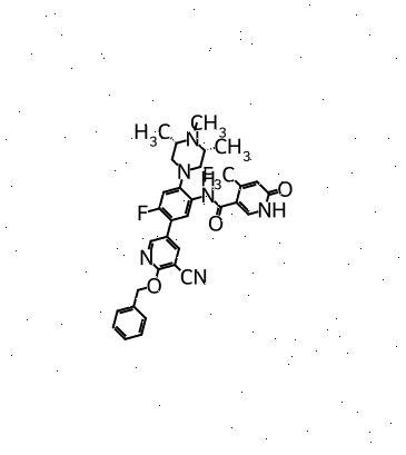 C[C@@H]1CN(c2cc(F)c(-c3cnc(OCc4ccccc4)c(C#N)c3)cc2NC(=O)c2c[nH]c(=O)cc2C(F)(F)F)C[C@H](C)N1C